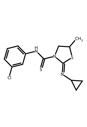 CC1CN(C(=S)Nc2cccc(Cl)c2)C(=NC2CC2)S1